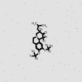 [2H]C([2H])([2H])Oc1cc2c(cc1OC([2H])([2H])[2H])C1N(CC2)CC([2H])(CC(C)C)C(=O)C1([2H])[2H]